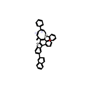 C=C1/C=C\C(c2ccccc2)=C/CN(c2ccccc2)c2c1c1sc3ccc(-c4ccc5ccccc5c4)cc3c1c1ccccc21